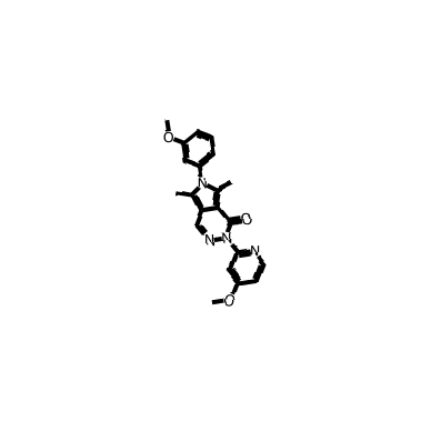 COc1cccc(-n2c(C)c3cnn(-c4cc(OC)ccn4)c(=O)c3c2C)c1